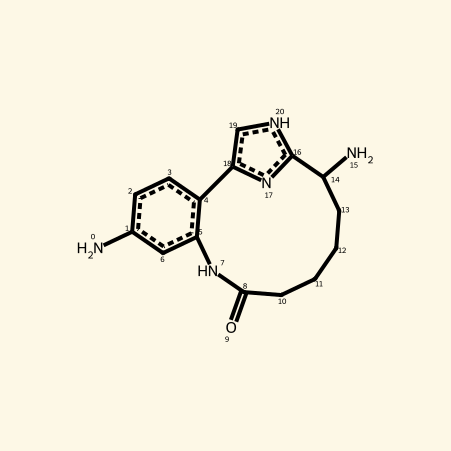 Nc1ccc2c(c1)NC(=O)CCCCC(N)c1nc-2c[nH]1